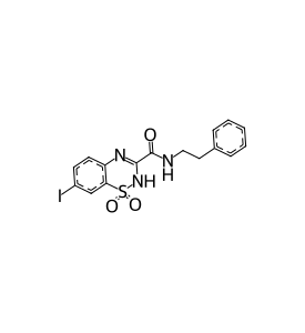 O=C(NCCc1ccccc1)C1=Nc2ccc(I)cc2S(=O)(=O)N1